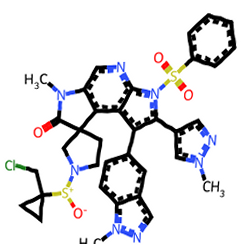 CN1C(=O)C2(CCN([S+]([O-])C3(CCl)CC3)C2)c2c1cnc1c2c(-c2ccc3c(cnn3C)c2)c(-c2cnn(C)c2)n1S(=O)(=O)c1ccccc1